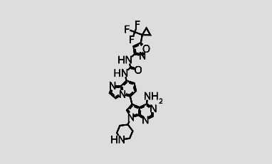 Nc1ncnc2c1c(-c1ccc(NC(=O)Nc3cc(C4(C(F)(F)F)CC4)on3)c3nccn13)cn2C1CCNCC1